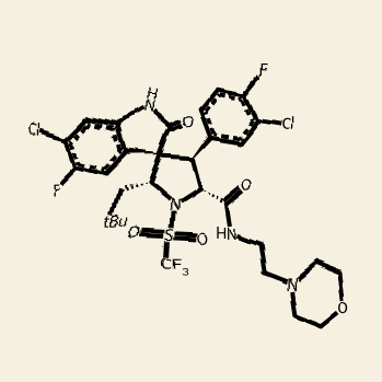 CC(C)(C)C[C@H]1N(S(=O)(=O)C(F)(F)F)[C@@H](C(=O)NCCN2CCOCC2)[C@H](c2ccc(F)c(Cl)c2)[C@@]12C(=O)Nc1cc(Cl)c(F)cc12